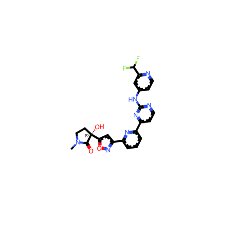 CN1CC[C@@](O)(c2cc(-c3cccc(-c4ccnc(Nc5ccnc(C(F)F)c5)n4)n3)no2)C1=O